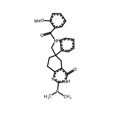 COc1ccccc1C(=O)NCC1(c2ccccc2)CCc2nc(N(C)C)[nH]c(=O)c2C1